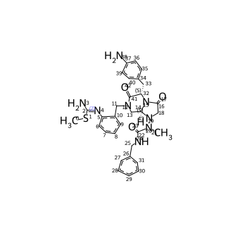 CS/C(N)=N\c1ccccc1CN1C[C@H]2N(C(=O)CN2N(C)C(=O)NCc2ccccc2)[C@@H](Cc2ccc(N)cc2)C1=O